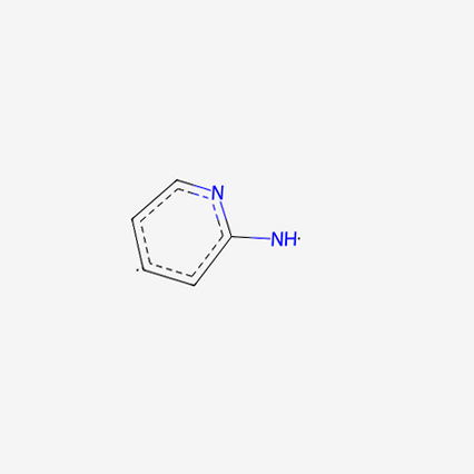 [NH]c1c[c]ccn1